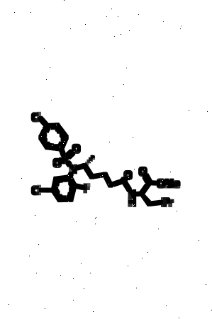 COC(=O)[C@@H](CC(C)C)NC(=O)CCC[C@@H](C)N(c1cc(Cl)ccc1F)S(=O)(=O)c1ccc(Cl)cc1